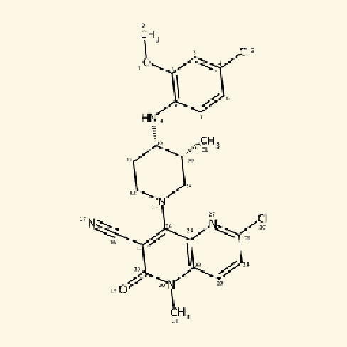 COc1cc(Cl)ccc1N[C@H]1CCN(c2c(C#N)c(=O)n(C)c3ccc(Cl)nc23)C[C@H]1C